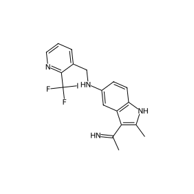 CC(=N)c1c(C)[nH]c2ccc(NCc3cccnc3C(F)(F)I)cc12